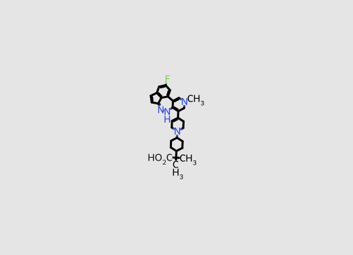 CN1C=C2C(=C(C3=CCN(C4CCC(C(C)(C)C(=O)O)CC4)CC3)C1)NN=C1C=Cc3cc(F)cc2c31